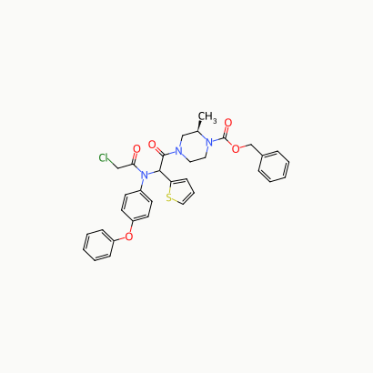 C[C@@H]1CN(C(=O)C(c2cccs2)N(C(=O)CCl)c2ccc(Oc3ccccc3)cc2)CCN1C(=O)OCc1ccccc1